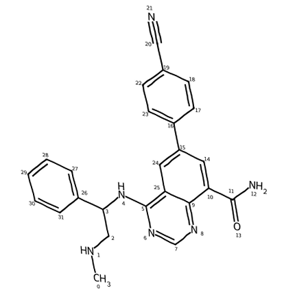 CNCC(Nc1ncnc2c(C(N)=O)cc(-c3ccc(C#N)cc3)cc12)c1ccccc1